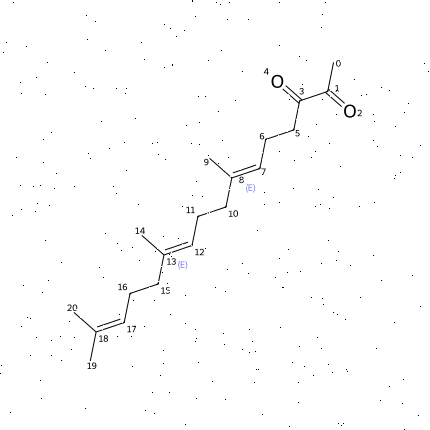 CC(=O)C(=O)CC/C=C(\C)CC/C=C(\C)CCC=C(C)C